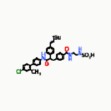 Cc1cc(Cl)ccc1-c1ccc(NC(=O)C(Cc2ccc(C(=O)NCCNS(=O)(=O)O)cc2)c2ccc(/C=C/C(C)(C)C)cc2)cc1